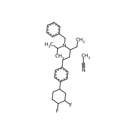 CC#N.CCC(CCc1ccc(C2CCC(F)C(F)C2)cc1)N(Cc1ccccc1)C(C)C